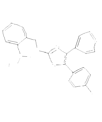 C[S+]([O-])c1ccccc1CSc1nc(-c2ccncc2)c(-c2ccc(F)cc2)[nH]1